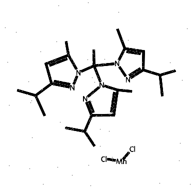 Cc1cc(C(C)C)nn1C(C)(n1nc(C(C)C)cc1C)n1nc(C(C)C)cc1C.[Cl][Mn][Cl]